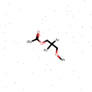 CC(=O)C(COC(=O)C(C)(C)C)(COC(C)C)C(C)=O